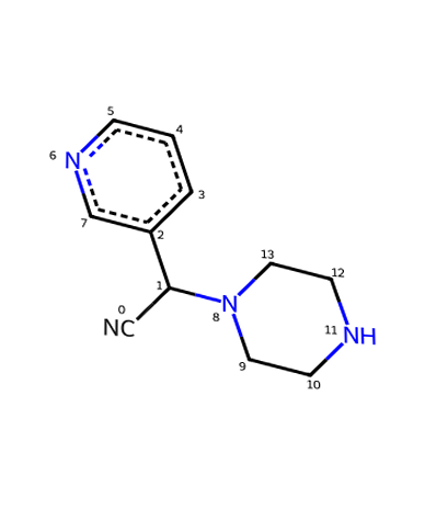 N#CC(c1cccnc1)N1CCNCC1